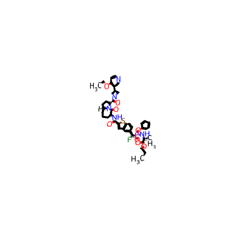 CCCOC(=O)[C@H](C)NP(=O)(Oc1ccccc1)[C@H](F)c1ccc2sc(C(=O)N[C@H]3CCC[C@H]4CC[C@@H](C(=O)N5CC(c6cnccc6OCC)C5)N4C3=O)cc2c1